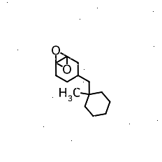 CC1(CC2CCC34OC3(C2)O4)CCCCC1